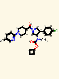 CN(C(=O)OC1CCC1)[C@@H]1CN(C(=O)C2CCN(c3ccc(C#N)cn3)CC2)C[C@H]1c1ccc(Cl)cc1